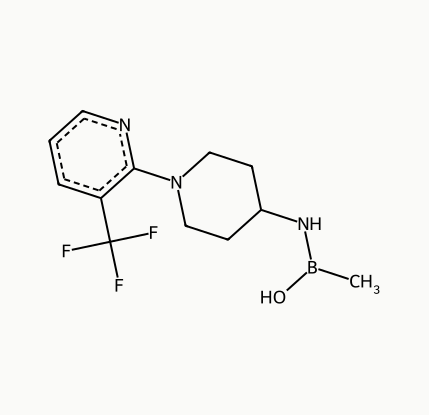 CB(O)NC1CCN(c2ncccc2C(F)(F)F)CC1